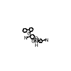 N#Cc1ccc(NS(=O)(=O)c2ccc(Oc3ccccc3-c3ccccc3)c(C#N)c2)nc1